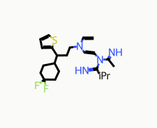 C=CN(C=CN(C(C)=N)C(=N)C(C)C)CCC(c1cccs1)C1CCC(F)(F)CC1